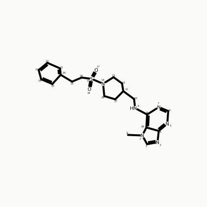 Cn1cnc2ncnc(NCC3CCN(S(=O)(=O)CCc4ccccc4)CC3)c21